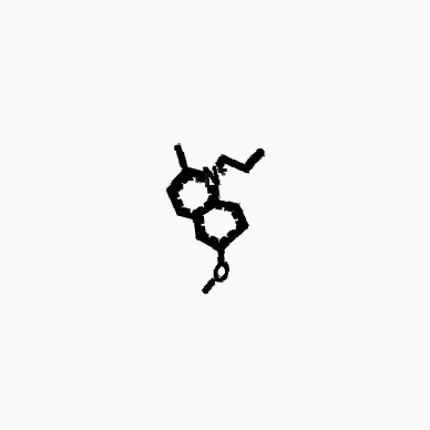 CCC[n+]1c(C)ccc2cc(OC)ccc21